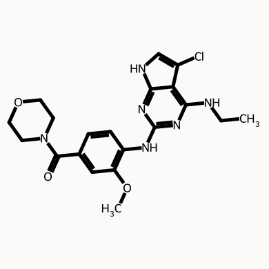 CCNc1nc(Nc2ccc(C(=O)N3CCOCC3)cc2OC)nc2[nH]cc(Cl)c12